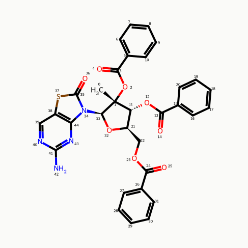 C[C@@]1(OC(=O)c2ccccc2)[C@H](OC(=O)c2ccccc2)[C@@H](COC(=O)c2ccccc2)O[C@H]1n1c(=O)sc2cnc(N)nc21